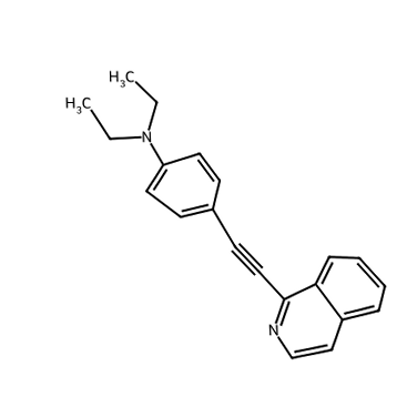 CCN(CC)c1ccc(C#Cc2nccc3ccccc23)cc1